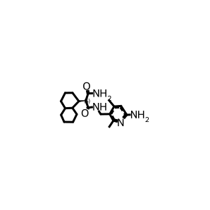 Cc1cc(N)nc(C)c1CNC(=O)[C@H](C(N)=O)C1CCCC2CCCCC21